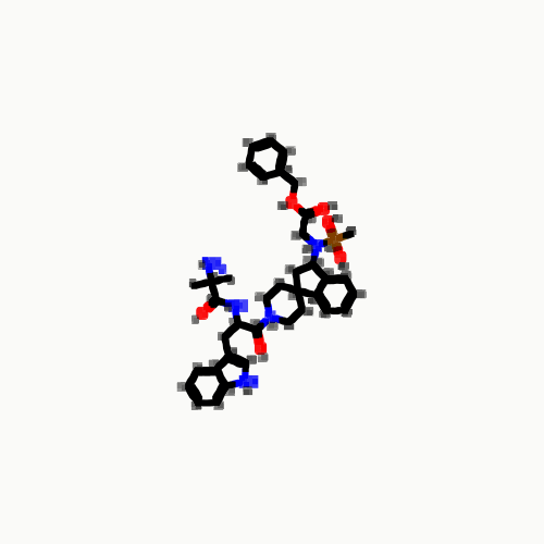 CC(C)(N)C(=O)NC(Cc1c[nH]c2ccccc12)C(=O)N1CCC2(CC1)C[C@@H](N(CC(=O)OCc1ccccc1)S(C)(=O)=O)c1ccccc12